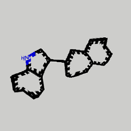 [c]1[nH]c2ccccc2c1-c1ccc2ccccc2c1